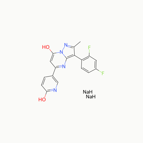 Cc1nn2c(O)cc(-c3ccc(O)nc3)nc2c1-c1ccc(F)cc1F.[NaH].[NaH]